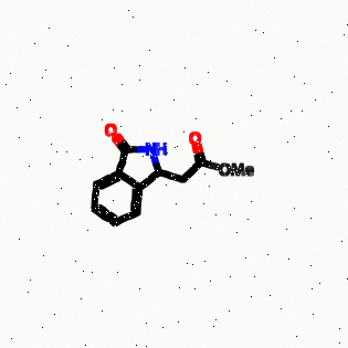 COC(=O)CC1NC(=O)c2ccccc21